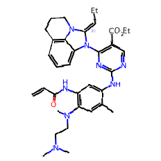 C=CC(=O)Nc1cc(Nc2ncc(C(=O)OCC)c(N3/C(=C/CC)N4CCCc5cccc3c54)n2)c(C)cc1N(C)CCN(C)C